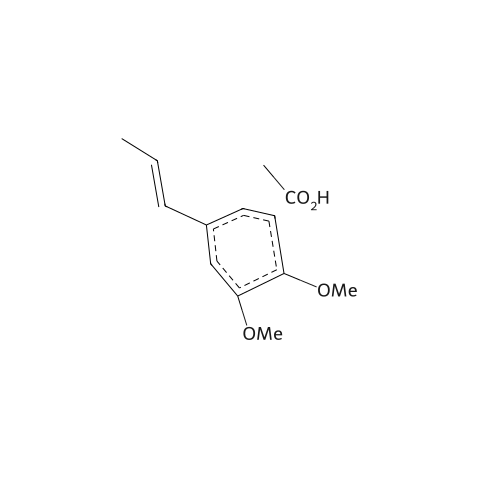 CC(=O)O.CC=Cc1ccc(OC)c(OC)c1